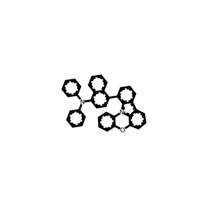 c1ccc(N(c2ccccc2)c2ccc(-c3cccc4c5cccc6c5n(c34)-c3ccccc3O6)c3ccccc23)cc1